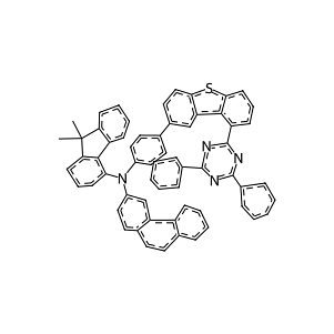 CC1(C)c2ccccc2-c2c(N(c3ccc(-c4ccc5sc6cccc(-c7nc(-c8ccccc8)nc(-c8ccccc8)n7)c6c5c4)cc3)c3ccc4ccc5ccccc5c4c3)cccc21